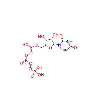 O=c1ccn(C2OC(COP(O)OO[PH](=O)OOP(=O)(O)O)C(O)C2O)c(=O)[nH]1